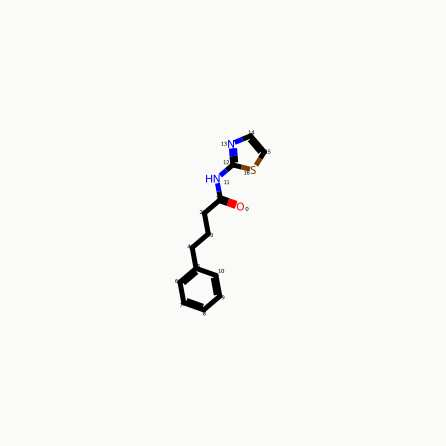 O=C(CCCc1ccccc1)Nc1nccs1